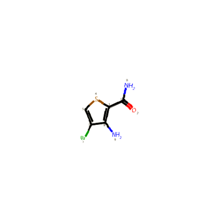 NC(=O)c1scc(Br)c1N